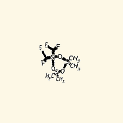 C[Si]1(C)O[Si](C)(C)O[Si](C(F)F)(C(F)F)O1